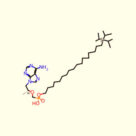 CC(C)[Si](CCCCCCCCCCCCCCCCCOP(=O)(O)CO[C@H](C)Cn1cnc2c(N)ncnc21)(C(C)C)C(C)C